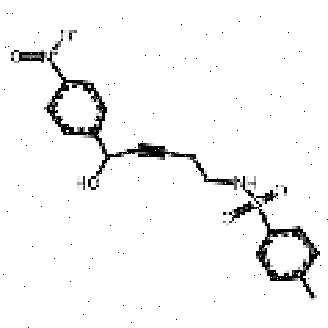 Cc1ccc(S(=O)(=O)NCCC#CC(O)c2ccc([N+](=O)[O-])cc2)cc1